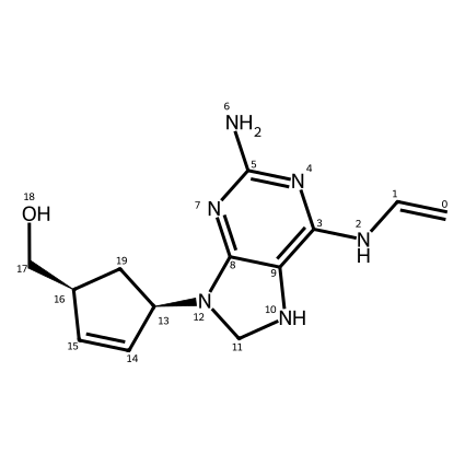 C=CNc1nc(N)nc2c1NCN2[C@H]1C=C[C@@H](CO)C1